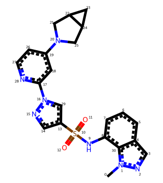 Cn1ncc2cccc(NS(=O)(=O)c3cnn(-c4cc(N5CC6CC6C5)ccn4)c3)c21